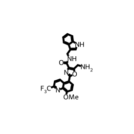 COc1ccc(-c2nc(C(=O)NCc3c[nH]c4ccccc34)c(CN)o2)c2ccc(C(F)(F)F)nc12